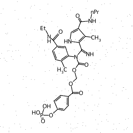 CCCNC(=O)c1c[nH]c(C(=N)N(C(=O)OCOC(=O)c2ccc(OP(=O)(O)O)cc2)c2cc(C(=O)NCC)ccc2C)c1C